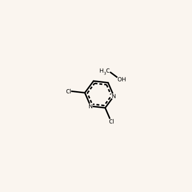 CO.Clc1ccnc(Cl)n1